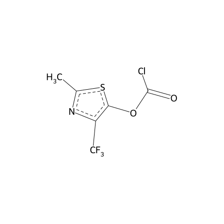 Cc1nc(C(F)(F)F)c(OC(=O)Cl)s1